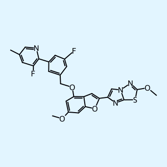 COc1cc(OCc2cc(F)cc(-c3ncc(C)cc3F)c2)c2cc(-c3cn4nc(OC)sc4n3)oc2c1